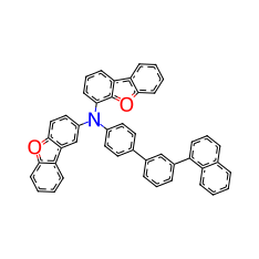 c1cc(-c2ccc(N(c3ccc4oc5ccccc5c4c3)c3cccc4c3oc3ccccc34)cc2)cc(-c2cccc3ccccc23)c1